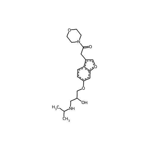 CC(C)NCC(O)COc1ccc2c(CC(=O)N3CCOCC3)coc2c1